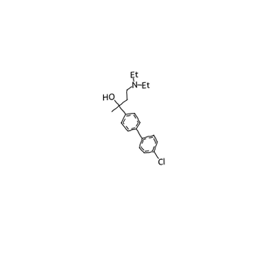 CCN(CC)CCC(C)(O)c1ccc(-c2ccc(Cl)cc2)cc1